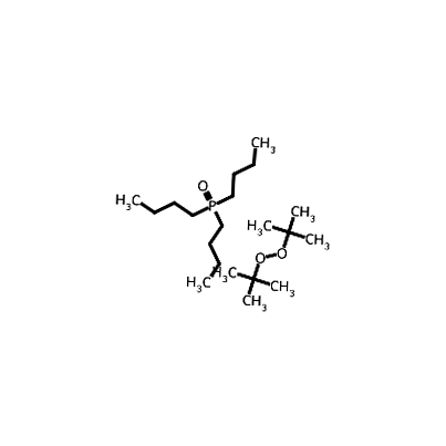 CC(C)(C)OOC(C)(C)C.CCCCP(=O)(CCCC)CCCC